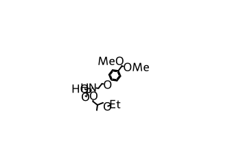 CCOCC(C)COP(=O)(O)NCCOc1ccc(C(OC)OC)cc1